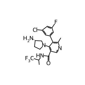 Cc1ncc(C(=O)NC(C)C(F)(F)F)c(N2CC[C@H](N)C2)c1-c1cc(F)cc(Cl)c1